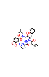 CC[C@H](C)CC(=O)N(NC(=O)C1CCCN1)[C@@H](Cc1ccccc1)[C@H](O)CN(CC(C)C)S(=O)(=O)c1ccc2c(c1)OCO2